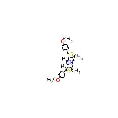 COc1ccc(CSC(C)(C)CNCC(C)(C)SCc2ccc(OC)cc2)cc1